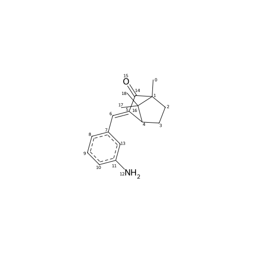 CC12CCC(C(=Cc3cccc(N)c3)C1=O)C2(C)C